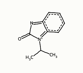 CC(C)[N+]1=c2ccccc2=NC1=O